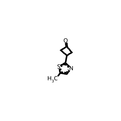 Cc1cnc(C2CC(=O)C2)s1